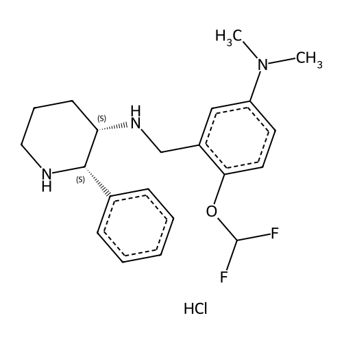 CN(C)c1ccc(OC(F)F)c(CN[C@H]2CCCN[C@H]2c2ccccc2)c1.Cl